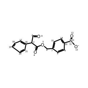 O=[C]C(C(=O)OCc1ccc([N+](=O)[O-])cc1)c1ccccc1